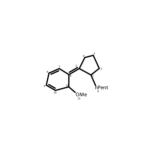 CCCCCC1CCCC1=C1C=CC=CC1OC